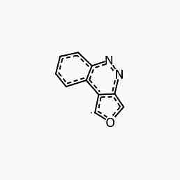 [c]1occ2nnc3ccccc3c12